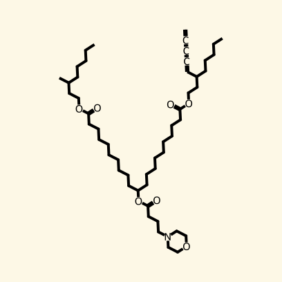 C=C=C=C=CC(CCCCC)CCOC(=O)CCCCCCCCCC(CCCCCCCCCC(=O)OCCC(C)CCCCC)OC(=O)CCCN1CCOCC1